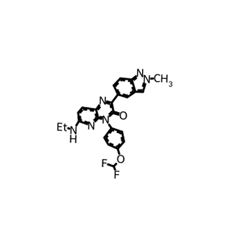 CCNc1ccc2nc(-c3ccc4nn(C)cc4c3)c(=O)n(-c3ccc(OC(F)F)cc3)c2n1